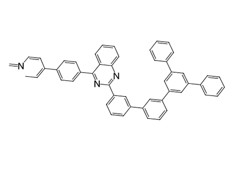 C=N/C=C\C(=C/C)c1ccc(-c2nc(-c3cccc(-c4cccc(-c5cc(-c6ccccc6)cc(-c6ccccc6)c5)c4)c3)nc3ccccc23)cc1